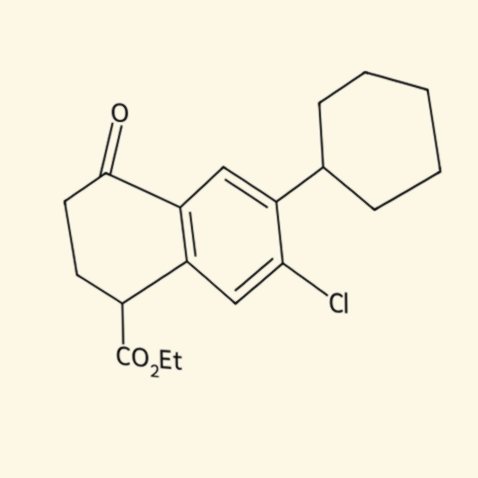 CCOC(=O)C1CCC(=O)c2cc(C3CCCCC3)c(Cl)cc21